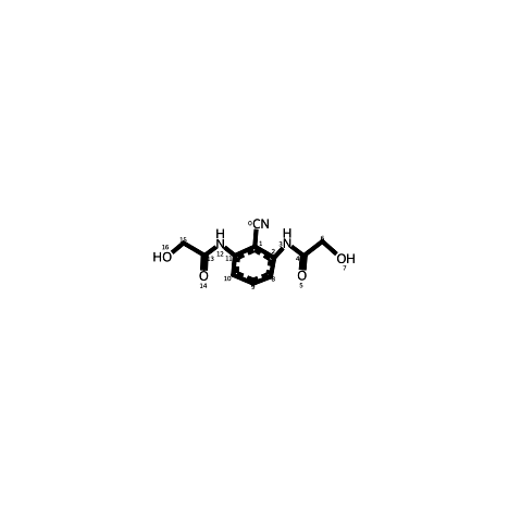 N#Cc1c(NC(=O)CO)cccc1NC(=O)CO